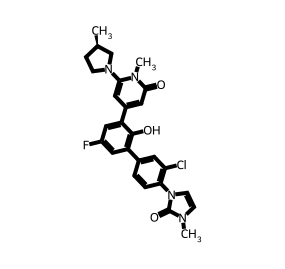 C[C@@H]1CCN(c2cc(-c3cc(F)cc(-c4ccc(-n5ccn(C)c5=O)c(Cl)c4)c3O)cc(=O)n2C)C1